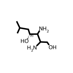 CC(C)C[C@@H](O)C(N)C(N)CO